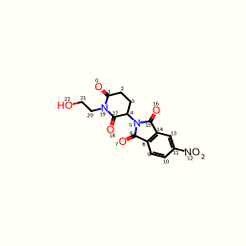 O=C1CCC(N2C(=O)c3ccc([N+](=O)[O-])cc3C2=O)C(=O)N1CCO